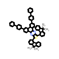 CC1(C)c2ccccc2-c2c(-c3sc(-c4cccc5c4-c4ccccc4C5(C)C)c4nc5c6ccc(-c7ccc(-c8ccccc8)cc7)cc6c6cc(-c7ccc(-c8ccccc8)cc7)ccc6c5nc34)cccc21